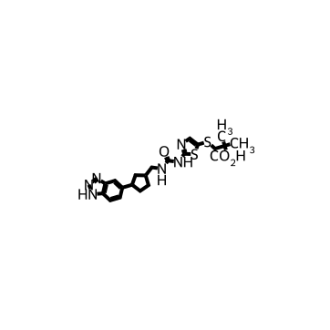 CC(C)(CSc1cnc(NC(=O)NCC2CCC(c3ccc4[nH]nnc4c3)C2)s1)C(=O)O